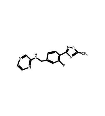 Fc1cc(CNc2cnccn2)ccc1-c1noc(C(F)(F)F)n1